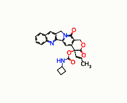 C/C=C/[C@@]1(OC(=O)NC2CCC2)C(=O)OCc2c1cc1n(c2=O)Cc2cc3ccccc3nc2-1